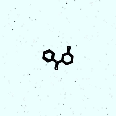 O=C1CCCC(C(=O)c2ccccc2)C1